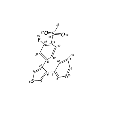 Cc1cncc(-c2cscc2-c2ccc(S(C)(=O)=O)c(F)c2)c1